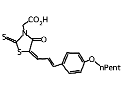 CCCCCOc1ccc(C=CC=C2SC(=S)N(CC(=O)O)C2=O)cc1